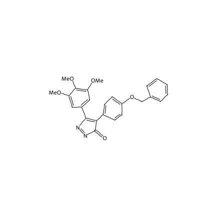 COc1cc(C2=C(c3ccc(OCc4ccccc4)cc3)C(=O)N=N2)cc(OC)c1OC